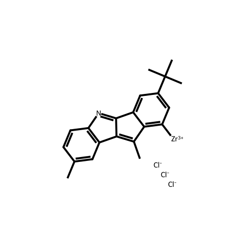 CC1=C2C(=Nc3ccc(C)cc32)c2cc(C(C)(C)C)c[c]([Zr+3])c21.[Cl-].[Cl-].[Cl-]